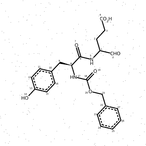 O=CC(CCC(=O)O)NC(=O)[C@H](Cc1ccc(O)cc1)NC(=O)OCc1ccccc1